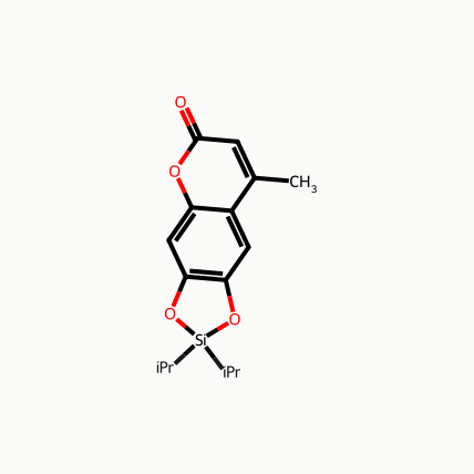 Cc1cc(=O)oc2cc3c(cc12)O[Si](C(C)C)(C(C)C)O3